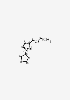 CCOCc1ccn(C2CCCC2)n1